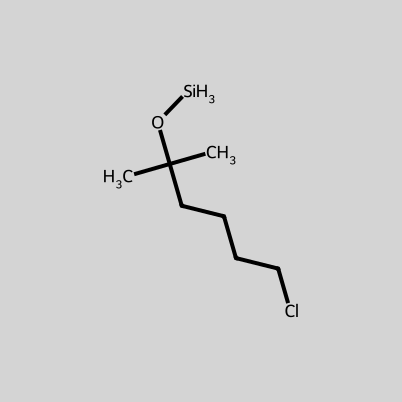 CC(C)(CCCCCl)O[SiH3]